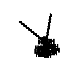 CCCCCCCCCCCCCCCCCCCC(=O)N[C@@H](COP(=O)(O)O[C@H]1C(O)C(O)C(O)[C@@H](O)C1O[C@H]1O[C@H](CO)[C@@H](O)C(O)C1O)[C@H](O)CCCCCCCCCCCCCCCCC